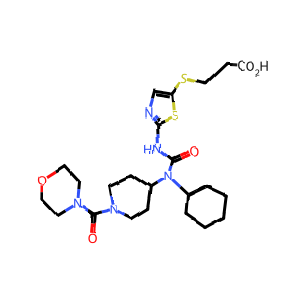 O=C(O)CCSc1cnc(NC(=O)N(C2CCCCC2)C2CCN(C(=O)N3CCOCC3)CC2)s1